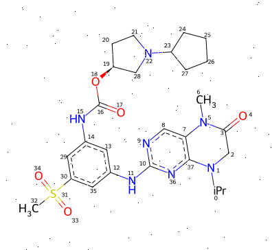 CC(C)N1CC(=O)N(C)c2cnc(Nc3cc(NC(=O)O[C@H]4CCN(C5CCCC5)C4)cc(S(C)(=O)=O)c3)nc21